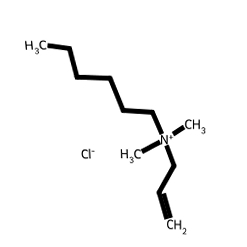 C=CC[N+](C)(C)CCCCCC.[Cl-]